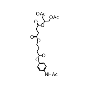 CC(=O)Nc1ccc(OC(=O)CCCOC(=O)CCC(=O)OC(COC(C)=O)COC(C)=O)cc1